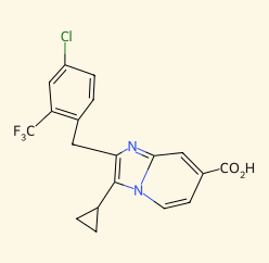 O=C(O)c1ccn2c(C3CC3)c(Cc3ccc(Cl)cc3C(F)(F)F)nc2c1